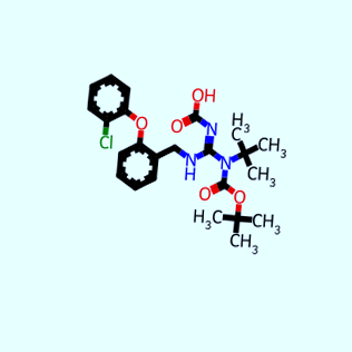 CC(C)(C)OC(=O)N(C(=NC(=O)O)NCc1ccccc1Oc1ccccc1Cl)C(C)(C)C